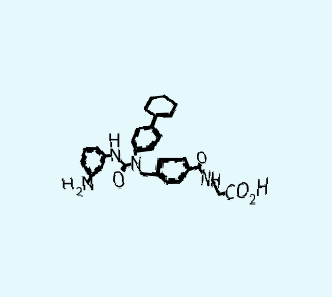 Nc1cccc(NC(=O)N(Cc2ccc(C(=O)NCCC(=O)O)cc2)c2ccc(C3=CCCCC3)cc2)c1